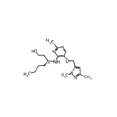 CCCC[C@@H](CCO)Nc1nc(C)ncc1OCc1cc(C)nn1C